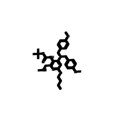 CCCCOc1nc(CNC)c(NC(=O)OC(C)(C)C)c(N(Cc2ccc(OC)cc2)Cc2ccc(OC)cc2)n1